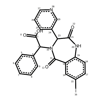 O=C(O)C(c1ccccc1)N1C(=O)c2cc(I)ccc2NC(=O)C1c1cccnc1